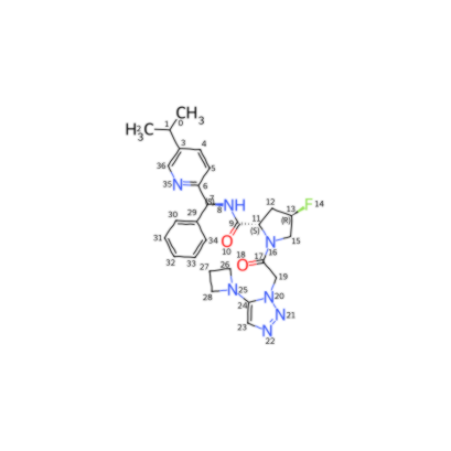 CC(C)c1ccc([C@@H](NC(=O)[C@@H]2C[C@@H](F)CN2C(=O)Cn2nncc2N2CCC2)c2ccccc2)nc1